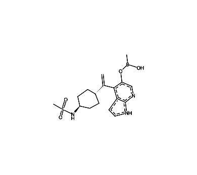 C=C(c1c(OB(C)O)cnc2[nH]ccc12)[C@H]1CC[C@H](NS(C)(=O)=O)CC1